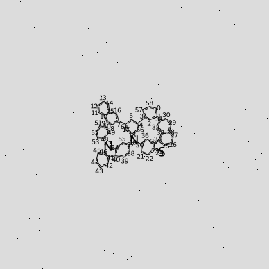 c1ccc(-c2cc(-c3ccc4ccccc4c3)cc(N(c3ccc4sc5ccc6ccccc6c5c4c3)c3ccc4c5ccccc5n(-c5ccccc5)c4c3)c2)cc1